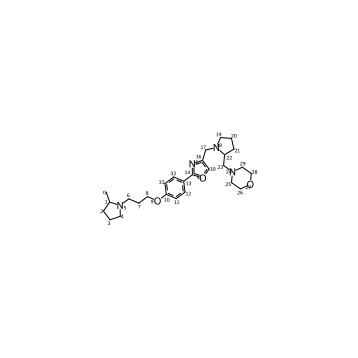 CC1CCCN1CCCOc1ccc(-c2nc(CN3CCCC3CN3CCOCC3)co2)cc1